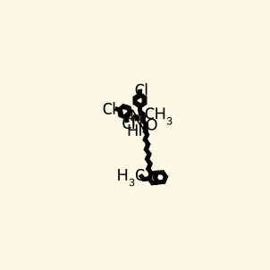 CCC1CC2CCCC(C2)C1CCCCCCCCNC(=O)c1nn(-c2ccc(Cl)cc2Cl)c(-c2ccc(Cl)cc2)c1C